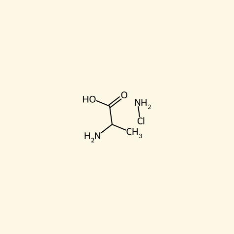 CC(N)C(=O)O.NCl